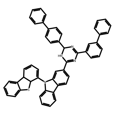 C1=CC2c3ccccc3SC2C(n2c3ccccc3c3ccc(C4=NC(c5cccc(-c6ccccc6)c5)=NC(c5ccc(-c6ccccc6)cc5)N4)cc32)=C1